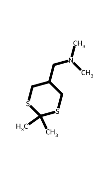 CN(C)CC1CSC(C)(C)SC1